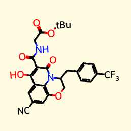 CC(C)(C)OC(=O)CNC(=O)c1c(O)c2cc(C#N)cc3c2n(c1=O)C(Cc1ccc(C(F)(F)F)cc1)CO3